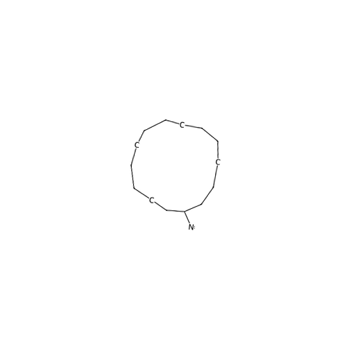 [N]C1CCCCCCCCCCCCC1